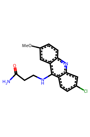 COc1ccc2nc3cc(Cl)ccc3c(NCCC(N)=O)c2c1